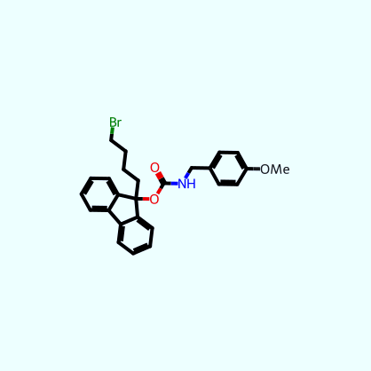 COc1ccc(CNC(=O)OC2(CCCCBr)c3ccccc3-c3ccccc32)cc1